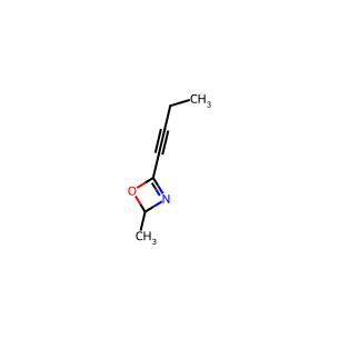 CCC#CC1=NC(C)O1